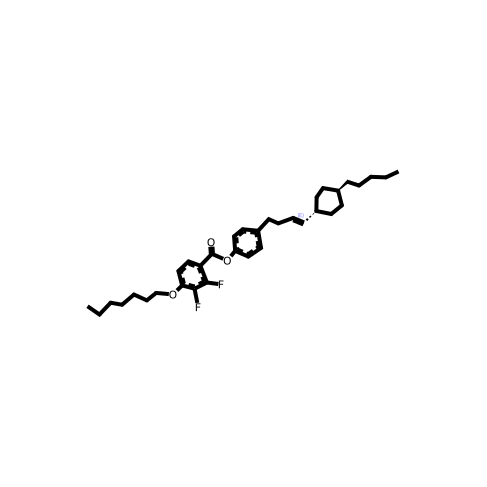 CCCCCCCOc1ccc(C(=O)Oc2ccc(CC/C=C/[C@H]3CC[C@H](CCCCC)CC3)cc2)c(F)c1F